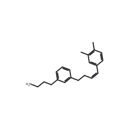 Cc1ccc(/C=C\CCc2cccc(CCCN)c2)cc1C